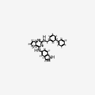 c1ccc(-c2cccc(CNc3nc(Nc4ccc5[nH]ncc5c4)c4sccc4n3)c2)cc1